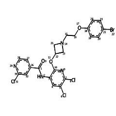 O=C(Nc1cc(Cl)c(Cl)nc1OC1CN(CCOc2ccc(Br)cc2)C1)c1ccnc(Cl)c1